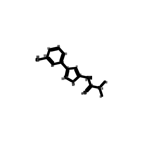 CN(C)C(=O)Nc1cc(-c2cccc(Cl)c2)ns1